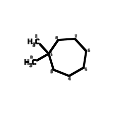 CC1(C)[CH]CCCCC1